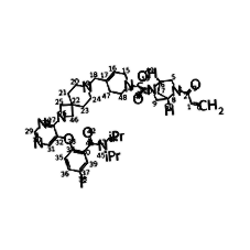 C=CC(=O)N1C[C@@H]2C[C@H]1CN2S(=O)(=O)N1CC=C(CN2CCC3(CC2)CN(c2ncncc2Oc2ccc(F)cc2C(=O)N(C(C)C)C(C)C)C3)CC1